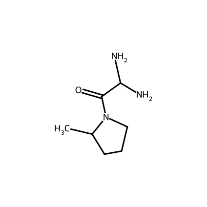 CC1CCCN1C(=O)C(N)N